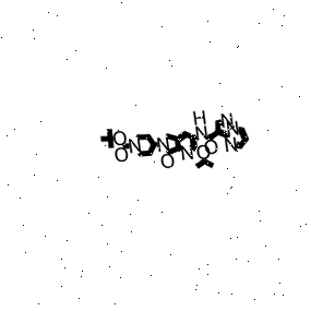 CC(C)Oc1nc2c(cc1NC(=O)c1cnn3cccnc13)CN(C1CCN(C(=O)OC(C)(C)C)CC1)C2=O